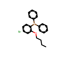 CCCCOc1ccccc1[S+](c1ccccc1)c1ccccc1.[Br-]